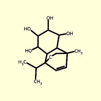 CC(C)C12C=CC(C)(CC1)C1C(O)C(O)C(O)C(O)C12